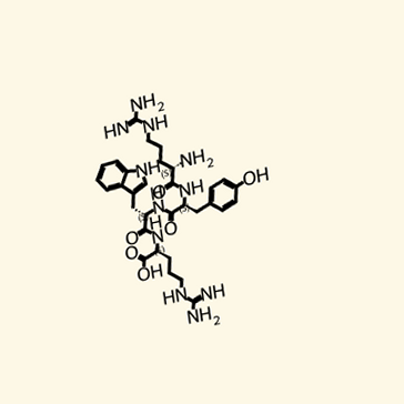 N=C(N)NCCC[C@H](NC(=O)[C@H](Cc1c[nH]c2ccccc12)NC(=O)[C@H](Cc1ccc(O)cc1)NC(=O)[C@@H](N)CCCNC(=N)N)C(=O)O